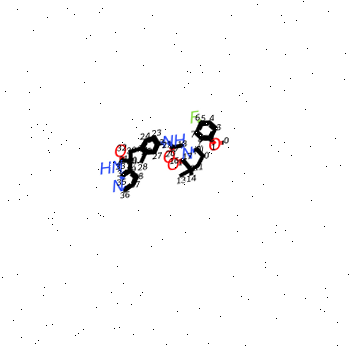 COc1ccc(F)cc1[C@@H]1CCC(C)(C)C(=O)N1CC(=O)Nc1ccc2c(c1)C[C@@]1(C2)C(=O)Nc2ncccc21